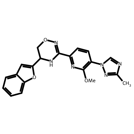 COc1nc(C2=NOCC(c3cc4ccccc4o3)N2)ccc1-n1cnc(C)n1